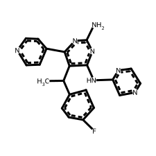 CC(c1ccc(F)cc1)c1c(Nc2cnccn2)nc(N)nc1-c1ccncc1